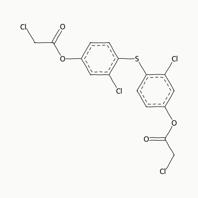 O=C(CCl)Oc1ccc(Sc2ccc(OC(=O)CCl)cc2Cl)c(Cl)c1